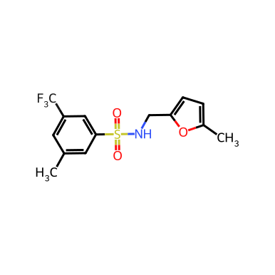 Cc1cc(C(F)(F)F)cc(S(=O)(=O)NCc2ccc(C)o2)c1